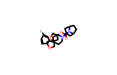 O=C(O[C@@H]1CCOC1)N1C2CCC1CC(N1CCC3(CC1)COc1ccc(F)cc13)C2